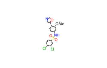 COc1cc(NS(=O)(=O)c2ccc(Cl)c(Cl)c2)ccc1-c1cnco1